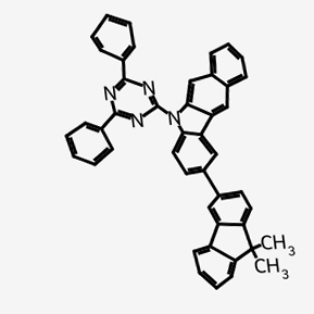 CC1(C)c2ccccc2-c2cc(-c3ccc4c(c3)c3cc5ccccc5cc3n4-c3nc(-c4ccccc4)nc(-c4ccccc4)n3)ccc21